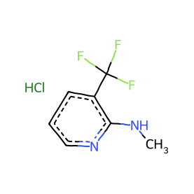 CNc1ncccc1C(F)(F)F.Cl